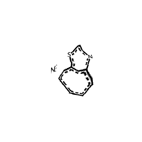 [N].c1ccc2scnc2c1